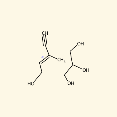 C#C/C(C)=C/CO.OCC(O)CO